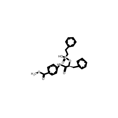 COC(=O)c1ccc(NC(=O)[C@H](Cc2ccccc2)OP(=O)(O)CCc2ccccc2)cc1